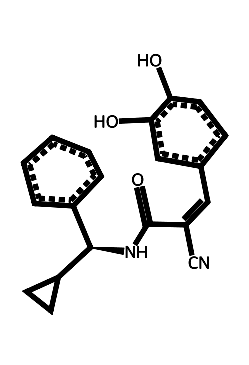 N#CC(=Cc1ccc(O)c(O)c1)C(=O)N[C@H](c1ccccc1)C1CC1